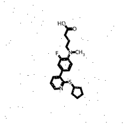 CN(CCCC(=O)O)c1ccc(-c2cccnc2SC2CCCC2)cc1F